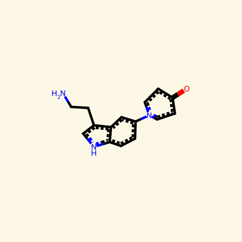 NCCc1c[nH]c2ccc(-n3ccc(=O)cc3)cc12